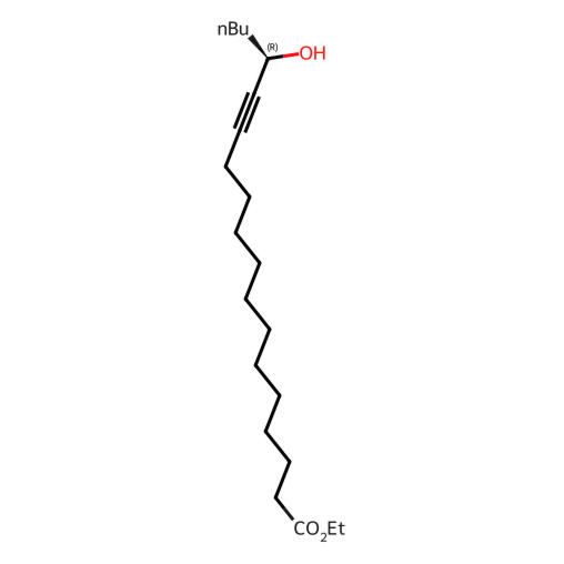 CCCC[C@@H](O)C#CCCCCCCCCCCCC(=O)OCC